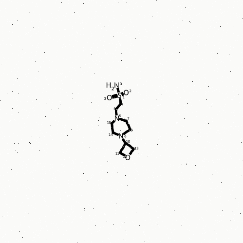 NS(=O)(=O)CCN1CCN(C2COC2)CC1